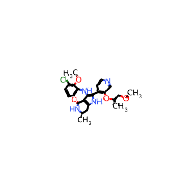 COCC(C)Oc1cnccc1-c1[nH]c2c(c1Nc1cccc(Cl)c1OC)C(=O)N[C@H](C)C2